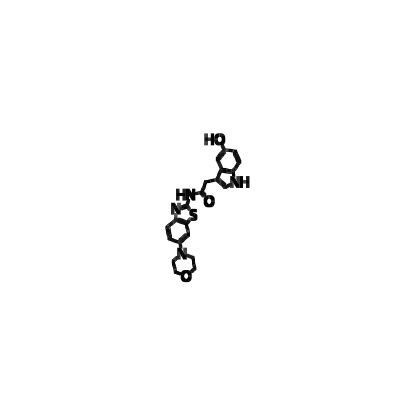 O=C(Cc1c[nH]c2ccc(O)cc12)Nc1nc2ccc(N3CCOCC3)cc2s1